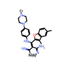 CCN1CCN(c2ccc(N/C(=C(C(=N)C=O)/C(N)=N\NC)c3oc4ccc(C)cc4c3C)cc2)CC1